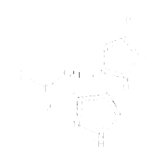 Br.O=[PH](O)O.c1cn[nH]c1.c1cn[nH]c1